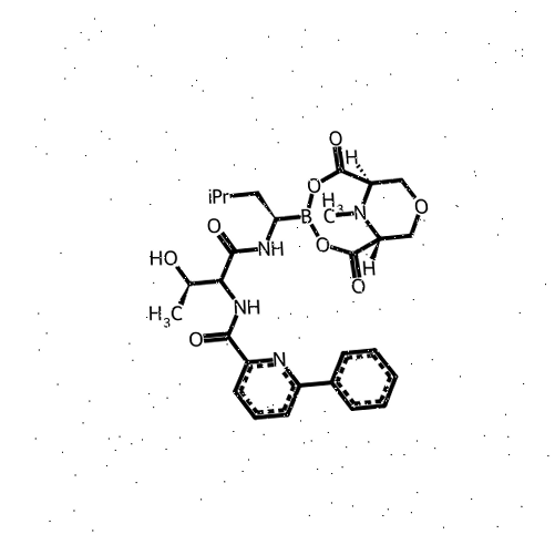 CC(C)C[C@H](NC(=O)C(NC(=O)c1cccc(-c2ccccc2)n1)[C@@H](C)O)B1OC(=O)[C@H]2COC[C@H](C(=O)O1)N2C